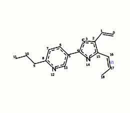 C=Cc1sc(-c2ccc(CCC)nc2)nc1/C=C\C